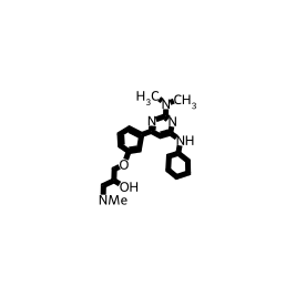 CNCC(O)COc1cccc(-c2cc(NC3CCCCC3)nc(N(C)C)n2)c1